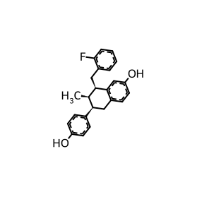 C[C@@H]1[C@H](c2ccc(O)cc2)Cc2ccc(O)cc2[C@@H]1Cc1ccccc1F